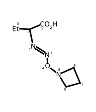 CCC(/N=N/ON1CCC1)C(=O)O